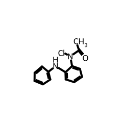 CC(=O)N(Cl)c1ccccc1Nc1ccccc1